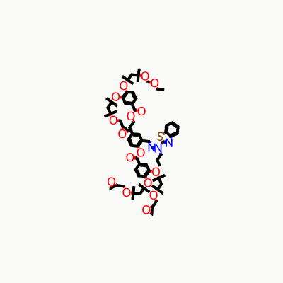 CCCN(/N=C/c1cc(CCOC(=O)c2ccc(OC(C)(C)CC(C)(C)OCOCC)c(OC(C)(C)CC(C)(C)OCC3CO3)c2)ccc1OC(=O)c1ccc(OC(C)(C)CC(C)(C)OCC2CO2)c(OC(C)(C)CC(C)(C)OCC2CO2)c1)c1nc2ccccc2s1